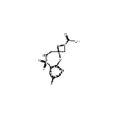 Cc1cnc2c(c1)S(=O)(=O)NCC1(CN(C(=O)O)C1)O2